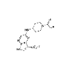 C=CC(=O)N1CCC(Nc2cnc3[nH]cc(C(=O)OCC)c3n2)CC1